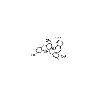 Cc1cc(Cc2cc(Cc3cc(C)c(O)c(Cc4ccc(O)cc4O)c3)ccc2O)c(O)cc1O